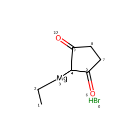 Br.C[CH2][Mg][CH]1C(=O)CCC1=O